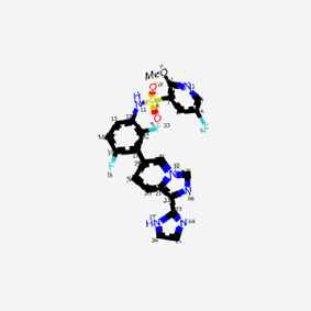 COc1ncc(F)cc1S(=O)(=O)Nc1ccc(F)c(-c2ccc3c(-c4ncc[nH]4)ncn3c2)c1F